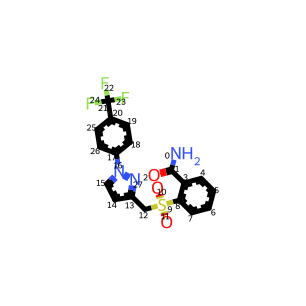 NC(=O)c1ccccc1S(=O)(=O)Cc1ccn(-c2ccc(C(F)(F)F)cc2)n1